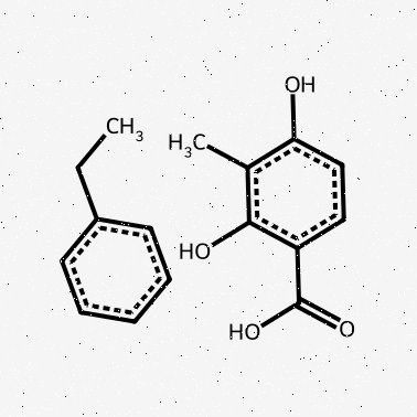 CCc1ccccc1.Cc1c(O)ccc(C(=O)O)c1O